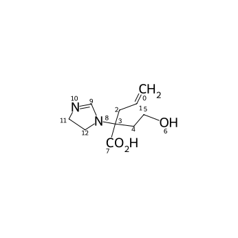 C=CCC(CCO)(C(=O)O)N1C=NCC1